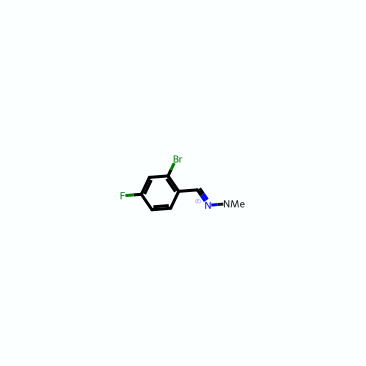 CN/N=C/c1ccc(F)cc1Br